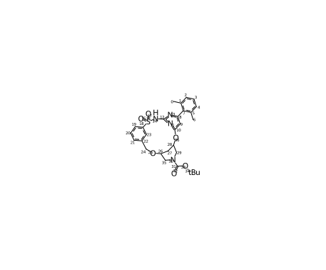 Cc1cccc(C)c1-c1cc2nc(n1)NS(=O)(=O)c1cccc(c1)COC1CC(CN(C(=O)OC(C)(C)C)C1)O2